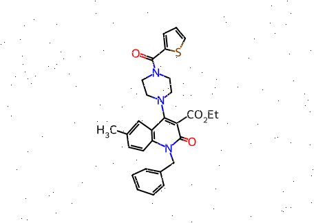 CCOC(=O)c1c(N2CCN(C(=O)c3cccs3)CC2)c2cc(C)ccc2n(Cc2ccccc2)c1=O